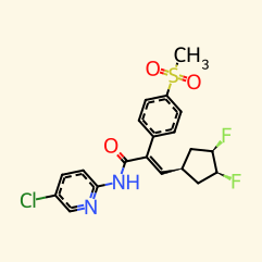 CS(=O)(=O)c1ccc(/C(=C\[C@H]2C[C@@H](F)[C@@H](F)C2)C(=O)Nc2ccc(Cl)cn2)cc1